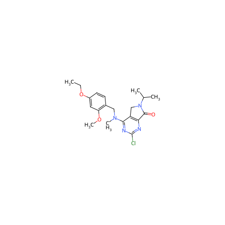 CCOc1ccc(CN(C)c2nc(Cl)nc3c2CN(C(C)C)C3=O)c(OC)c1